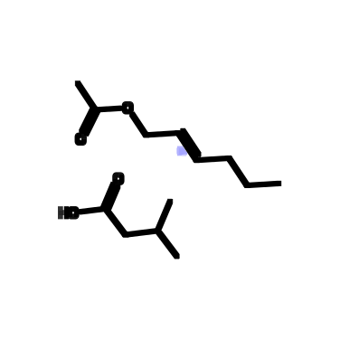 CC(C)CC(=O)O.CCC/C=C/COC(C)=O